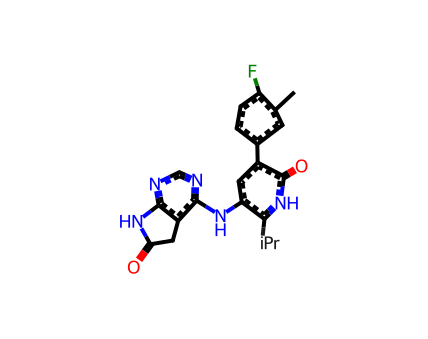 Cc1cc(-c2cc(Nc3ncnc4c3CC(=O)N4)c(C(C)C)[nH]c2=O)ccc1F